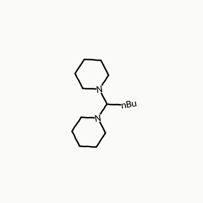 CCCCC(N1CCCCC1)N1CCCCC1